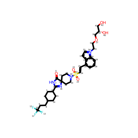 O=C1NC(C2CCC(CCC(F)(F)F)CC2)=NC12CCN(S(=O)(=O)C=Cc1cccc3c1ccn3CCOC[C@@H](O)CO)CC2